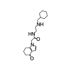 O=C(Cn1ccc2c1CCCC2=O)NCCNCC1CCCCC1